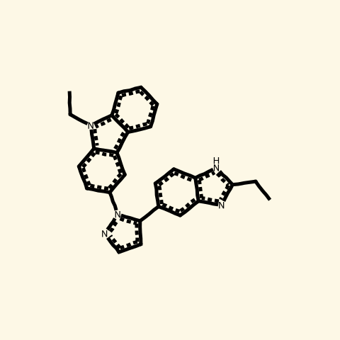 CCc1nc2cc(-c3ccnn3-c3ccc4c(c3)c3ccccc3n4CC)ccc2[nH]1